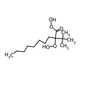 CCCCCCCCC(OO)(C(=O)OO)C(C)(C)C